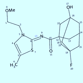 COCCn1cc(C)s/c1=N\C(=O)C12CC3CC(O)(CC(F)(C3)C1)C2